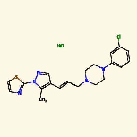 Cc1c(C=CCN2CCN(c3cccc(Cl)c3)CC2)cnn1-c1nccs1.Cl